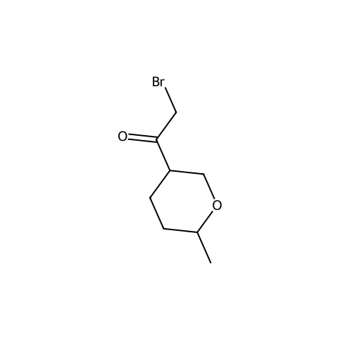 CC1CCC(C(=O)CBr)CO1